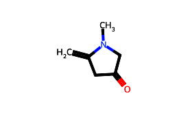 C=C1CC(=O)CN1C